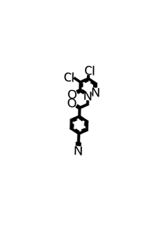 N#Cc1ccc(C(=O)Cn2ncc(Cl)c(Cl)c2=O)cc1